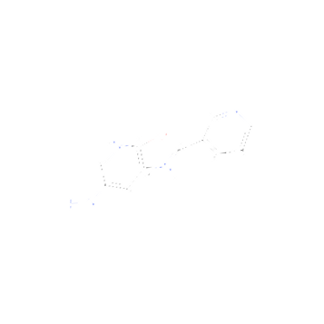 Nc1cnc2oc(-c3cccnc3)nc2c1